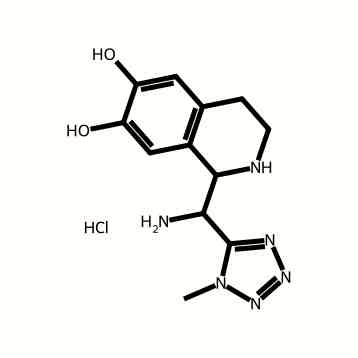 Cl.Cn1nnnc1C(N)C1NCCc2cc(O)c(O)cc21